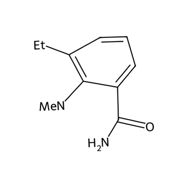 CCc1cccc(C(N)=O)c1NC